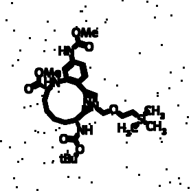 COC(=O)Nc1ccc2c(c1)N[C@H](C(=O)OC)CCCC[C@H](NC(=O)OC(C)(C)C)c1nc-2cn1COCC[Si](C)(C)C